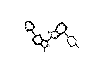 CN1CCN(c2cccc3[nH]c(-c4n[nH]c5ccc(-c6ccccn6)nc45)nc23)CC1